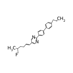 C=CCc1ccc(-c2ccc(-c3ncc(C=CCCC(C)CF)cn3)cc2)cc1